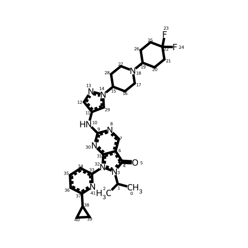 CC(C)n1c(=O)c2cnc(Nc3cnn(C4CCN(C5CCC(F)(F)CC5)CC4)c3)nc2n1-c1cccc(C2CC2)n1